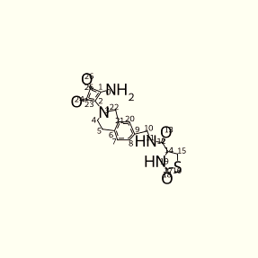 Nc1c(N2CCc3ccc(CNC(=O)C4CSC(=O)N4)cc3C2)c(=O)c1=O